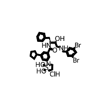 Cl.O=C(N[C@@H](Cc1ccccc1)[C@@H](O)CNCc1cc(Br)cc(Br)c1)c1cc(C2CCCC2)cc(N2CCCS2(O)O)c1